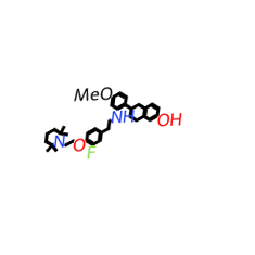 COc1ccc(C2CCc3cc(O)ccc3C2)c(NCCc2ccc(OCCN3C(C)(C)CCCC3(C)C)c(F)c2)c1